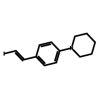 IC=Cc1ccc(N2CCCCC2)cc1